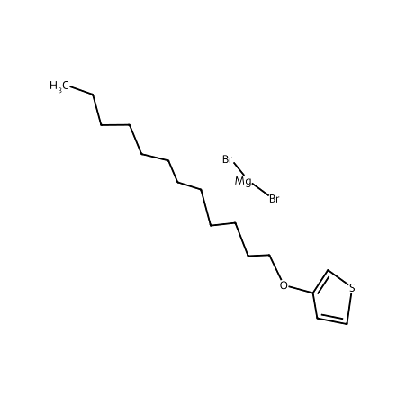 CCCCCCCCCCCCOc1ccsc1.[Br][Mg][Br]